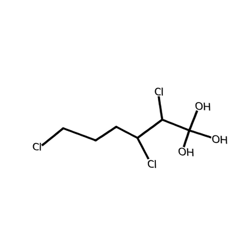 OC(O)(O)C(Cl)C(Cl)CCCCl